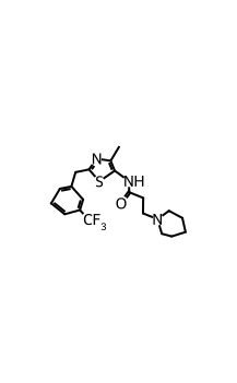 Cc1nc(Cc2cccc(C(F)(F)F)c2)sc1NC(=O)CCN1CCCCC1